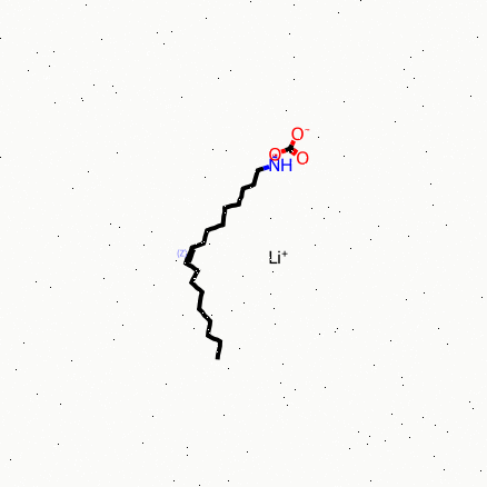 CCCCCCCC/C=C\CCCCCCCCNOC(=O)[O-].[Li+]